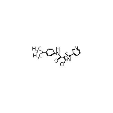 CC(C)c1ccc(NC(=O)c2sc(-c3cccnc3)nc2Cl)cc1